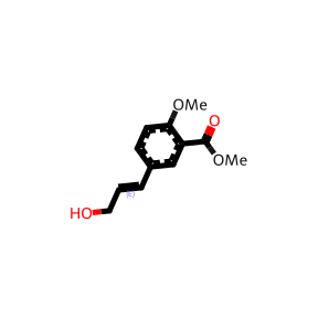 COC(=O)c1cc(/C=C/CO)ccc1OC